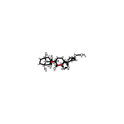 COCCN[C@H]1CC[C@@H](S(=O)(=O)N2[C@@H]3CC[C@H]2C[C@@H](NC(=O)c2cc(C4CC4)on2)C3)CC1